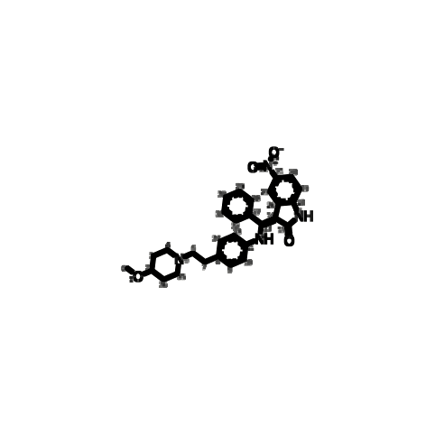 COC1CCN(CCc2ccc(N/C(=C3\C(=O)Nc4ccc([N+](=O)[O-])cc43)c3ccccc3)cc2)CC1